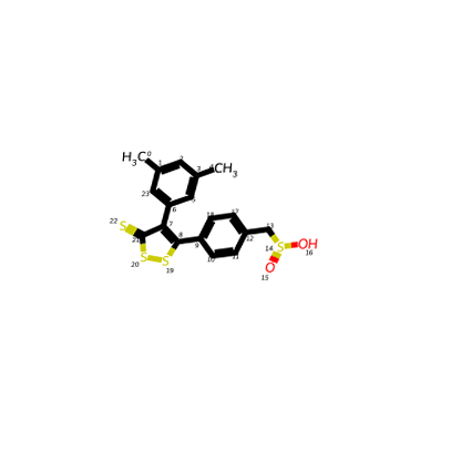 Cc1cc(C)cc(-c2c(-c3ccc(CS(=O)O)cc3)ssc2=S)c1